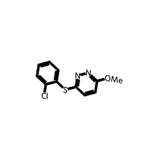 COc1ccc(Sc2ccccc2Cl)nn1